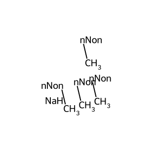 CCCCCCCCCC.CCCCCCCCCC.CCCCCCCCCC.CCCCCCCCCC.[NaH]